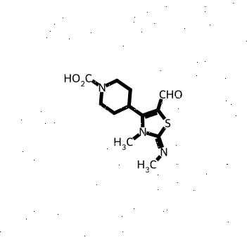 CN=c1sc(C=O)c(C2CCN(C(=O)O)CC2)n1C